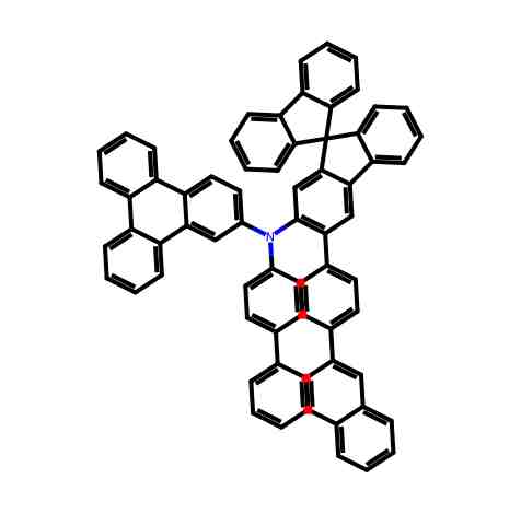 c1ccc(-c2ccc(N(c3ccc4c5ccccc5c5ccccc5c4c3)c3cc4c(cc3-c3ccc(-c5ccc6ccccc6c5)cc3)-c3ccccc3C43c4ccccc4-c4ccccc43)cc2)cc1